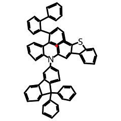 c1ccc(-c2ccccc2-c2ccccc2-c2ccccc2N(c2ccc3c(c2)-c2ccccc2C3(c2ccccc2)c2ccccc2)c2ccc3sc4ccccc4c3c2)cc1